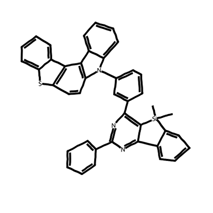 C[Si]1(C)c2ccccc2-c2nc(-c3ccccc3)nc(-c3cccc(-n4c5ccccc5c5c6c(ccc54)sc4ccccc46)c3)c21